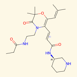 CCC(=O)NCCN1C(=O)C(C)(C)OC(C=C(C)C)=C1/C=C/C(=O)N[C@@H]1CCCNC1